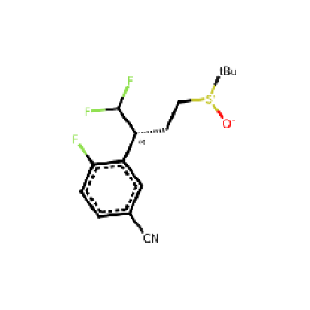 CC(C)(C)[S+]([O-])CC[C@H](c1cc(C#N)ccc1F)C(F)F